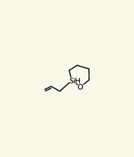 C=CC[SiH]1CCCCO1